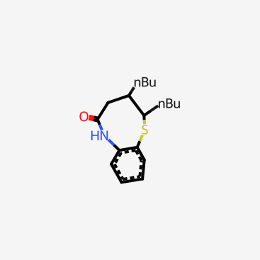 CCCCC1CC(=O)Nc2ccccc2SC1CCCC